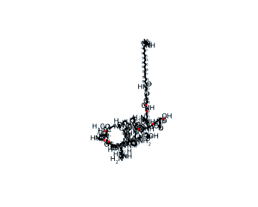 CC(=O)N[C@H]1CCCNC(=O)C[C@@H](C(=O)N2CCC[C@H]2C(=O)N2CCC[C@H]2C(=O)N[C@@H](CCCNC(=N)N)C(=O)N[C@@H](CCC(=O)O)C(=O)N[C@@H](CCCCN(CC(=O)O)CC(=O)O)CN[C@@H](CCCCNC(=O)COCCOCCNC(=O)CCCCCCCCCCCCCCCc2nnn[nH]2)C(N)=O)NC(=O)[C@H](Cc2c[nH]c3ccccc23)NC(=O)[C@H](CCCNC(=N)N)NC(=O)C(C)NC(=O)[C@H](Cc2c[nH]cn2)NC1=O